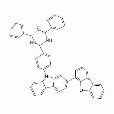 c1ccc(C2NC(c3ccccc3)NC(c3ccc(-n4c5ccccc5c5ccc(-c6cccc7c6oc6ccccc67)cc54)cc3)N2)cc1